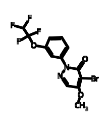 COc1cnn(-c2cccc(OC(F)(F)C(F)F)c2)c(=O)c1Br